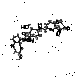 COc1cnc2cccc(NC(=O)[C@]3(O)CC[C@@H](NCc4ccc5c(n4)NC(=O)CS5)CC3)c2n1.Cl